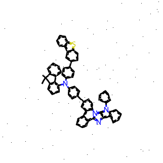 CC1(C)c2ccccc2-c2c(N(c3ccc(-c4ccc5sc6ccccc6c5c4)cc3)c3ccc(-c4ccc5c(c4)c4ccccc4c4nc6c7ccccc7n(-c7ccccc7)c6n54)cc3)cccc21